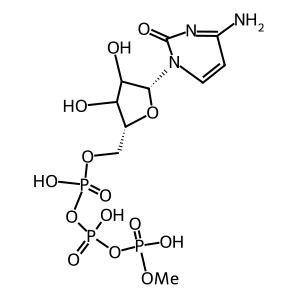 COP(=O)(O)OP(=O)(O)OP(=O)(O)OC[C@H]1O[C@@H](n2ccc(N)nc2=O)C(O)C1O